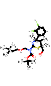 CC1[C@@](C)(CO)SC(N(COCC[Si](C)(C)C)C(=O)OC(C)(C)C)=N[C@]1(C)c1cccc(F)c1F